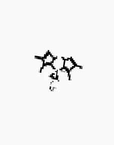 CC1=CC(C)[C]([Hf+2]2([C]3=C(C)C(C)=CC3C)[CH2][CH2]2)=C1C.[Cl-].[Cl-]